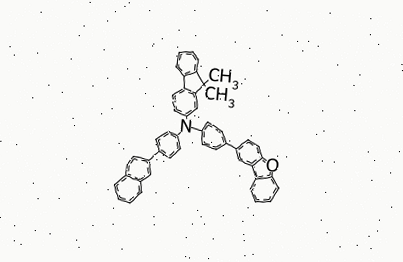 CC1(C)c2ccccc2-c2ccc(N(c3ccc(-c4ccc5ccccc5c4)cc3)c3ccc(-c4ccc5oc6ccccc6c5c4)cc3)cc21